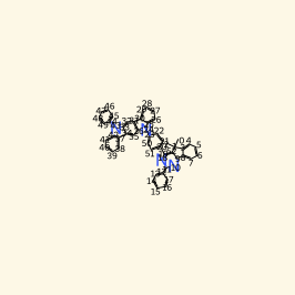 CC1(C)c2ccccc2-c2nc(-c3ccccc3)nc(-c3ccc(-n4c5ccccc5c5cc6c(cc54)c4ccccc4n6-c4ccccc4)cc3)c21